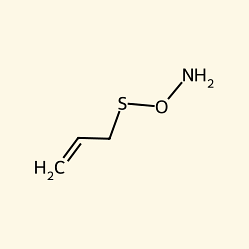 C=CCSON